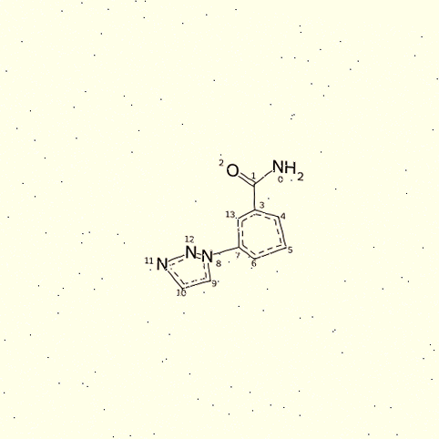 NC(=O)c1cccc(-n2ccnn2)c1